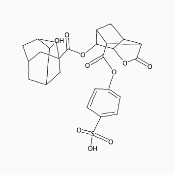 O=C1OC2C3CC(C2OC(=O)C24CC5CC(C2)C(O)C(C5)C4)C(C(=O)Oc2ccc(S(=O)(=O)O)cc2)C13